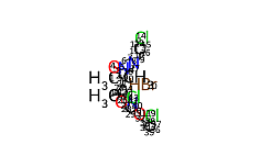 Br.CC(C(=O)N1CCN(Cc2ccc(Cl)cc2)CC1)=C(C)c1cc(C)c(Oc2ccc(OCc3ccccc3Cl)cn2)c(Cl)c1